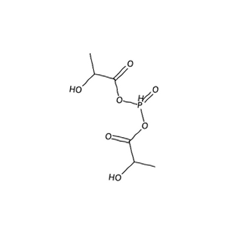 CC(O)C(=O)O[PH](=O)OC(=O)C(C)O